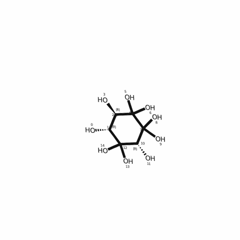 O[C@@H]1[C@@H](O)C(O)(O)C(O)(O)[C@H](O)C1(O)O